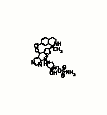 C[C@]1(c2csc(C(=O)c3cncnc3N[C@@H]3C[C@H](COS(N)(=O)=O)[C@@H](O)C3)c2)NCCc2ccc(Cl)cc21